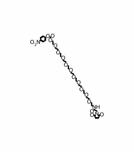 O=C(CN1C(=O)C=CC1=O)NCCOCCOCCOCCOCCOCCOCCOCCOCCOCCOCCOC(=O)Oc1ccc([N+](=O)[O-])cc1